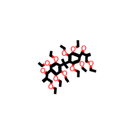 C=C(COCC)C(=O)c1c(OCC)c(OCC)c(C(C)(C)c2c(OCC)c(OCC)c(C(=O)C(=C)COCC)c(OCC)c2OCC)c(OCC)c1OCC